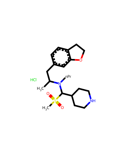 CCCN(C(C)Cc1ccc2c(c1)OCC2)C(C1CCNCC1)S(C)(=O)=O.Cl